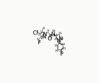 Cc1c(Cl)c(CF)nn1CC(=O)N(C)c1cnn(-c2ccc(F)cc2)c1